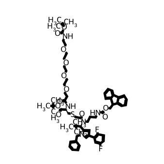 CC(C)(C)OC(=O)NCCOCCOCCOCCOCCC(=O)N[C@@H](CSCC(=O)N(CCCNC(=O)OCC1c2ccccc2-c2ccccc21)[C@@H](c1cc(-c2cc(F)ccc2F)cn1Cc1ccccc1)C(C)(C)C)C(=O)OC(C)(C)C